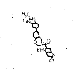 CCn1c(C(=O)N2CCOc3ccc(-c4ccc5nc(C)[nH]c5c4)cc3C2)cc2sc(Cl)cc21